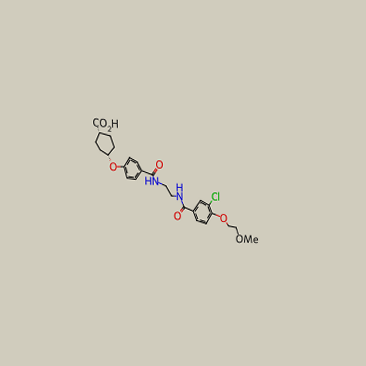 COCCOc1ccc(C(=O)NCCNC(=O)c2ccc(O[C@H]3CC[C@@H](C(=O)O)CC3)cc2)cc1Cl